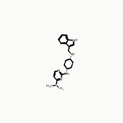 CN(C)c1ccnc(N[C@H]2CC[C@@H](NCc3c[nH]c4ccccc34)CC2)n1